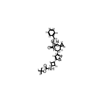 CC(C)(C)OC(=O)N[C@H]1C[C@H](c2cc([C@@H]3CC4(CC4)[C@H]4CN3C(=O)N4OCc3ccccc3)no2)C1